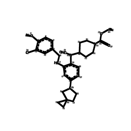 COc1ccc(CNc2nc(N3CCC4(CC4)C3)ncc2N(C=O)C2CCN(C(=O)OC(C)(C)C)CC2)cc1Cl